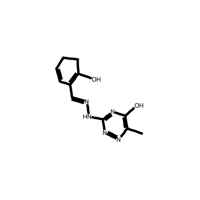 Cc1nnc(N/N=C/C2=C(O)CCC=C2)nc1O